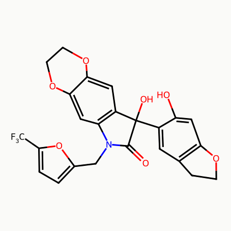 O=C1N(Cc2ccc(C(F)(F)F)o2)c2cc3c(cc2C1(O)c1cc2c(cc1O)OCC2)OCCO3